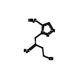 C=C(CCC#N)Cn1nncc1C(=O)O